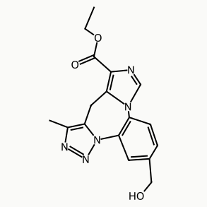 CCOC(=O)c1ncn2c1Cc1c(C)nnn1-c1cc(CO)ccc1-2